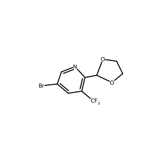 FC(F)(F)c1cc(Br)cnc1C1OCCO1